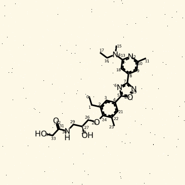 CCc1cc(-c2nc(-c3cc(C)nc(N(C)CC)c3)no2)cc(C)c1OC[C@@H](O)CNC(=O)CO